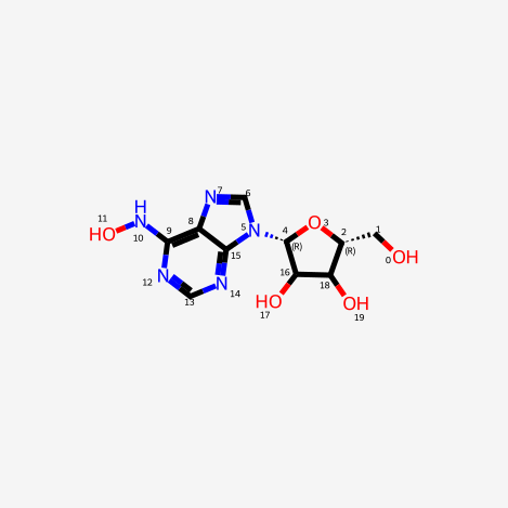 OC[C@H]1O[C@@H](n2cnc3c(NO)ncnc32)C(O)C1O